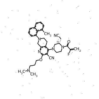 C=C(F)C(=O)N1CCN(c2c(C#N)c(OCCCN(C)C)nc3c2CCN(c2cccc4cccc(C)c24)C3)C[C@@H]1CC#N